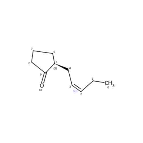 CC/C=C\C[C@@H]1CCCC1=O